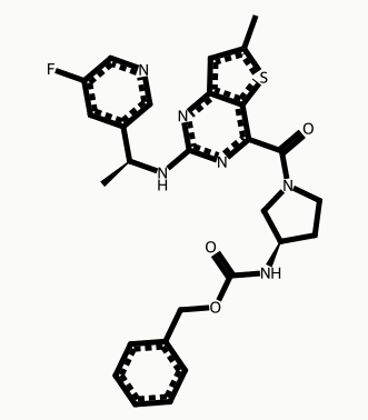 Cc1cc2nc(N[C@@H](C)c3cncc(F)c3)nc(C(=O)N3CC[C@@H](NC(=O)OCc4ccccc4)C3)c2s1